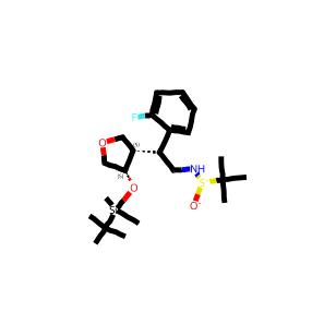 CC(C)(C)[S+]([O-])NCC(c1ccccc1F)[C@H]1COC[C@H]1O[Si](C)(C)C(C)(C)C